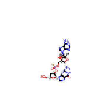 Nc1nc2c(ncn2[C@@H]2O[C@H](CO)C[C@H]2OP(=O)(S)OC[C@@]23CO[C@@H]([C@H](n4cnc5c(N)ncnc54)O2)[C@@H]3O)c(=O)[nH]1